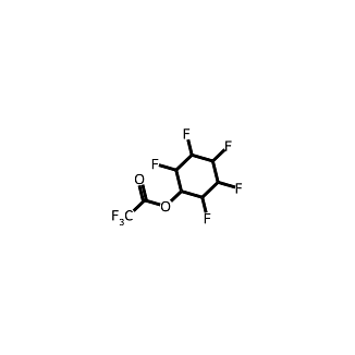 O=C(OC1C(F)C(F)C(F)C(F)C1F)C(F)(F)F